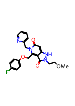 COCCn1[nH]c2cc(=O)n(Cc3ccccn3)c(COc3ccc(F)cc3)c2c1=O